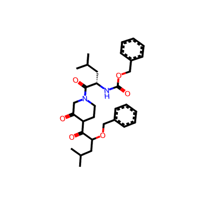 CC(C)CC(OCc1ccccc1)C(=O)C1CCN(C(=O)[C@H](CC(C)C)NC(=O)OCc2ccccc2)CC1=O